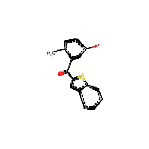 Cc1ccc(Br)cc1C(=O)c1cc2ccccc2s1